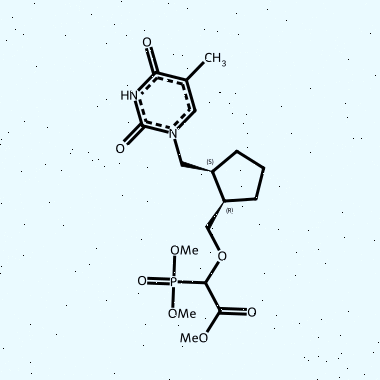 COC(=O)C(OC[C@@H]1CCC[C@@H]1Cn1cc(C)c(=O)[nH]c1=O)P(=O)(OC)OC